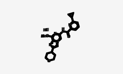 COc1nc(NC(=O)c2cccc(C3CC3)n2)cn2cc(C3CCOCC3)nc12.Cl